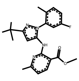 COC(=O)c1ccc(C)nc1Nc1cc(C(C)(C)C)nn1-c1cc(F)ccc1C